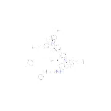 CCCCCCNc1cc(C)c(N(c2ccc(C)cc2)c2ccc3c(c2)C(CCCCCCCCc2ccc4c(c2)CC4)(CCCCCCCCc2ccc4c(c2)CC4)c2cc(N(c4ccc(C)cc4)c4c(C)cc(C)cc4C)ccc2-3)c(C)c1